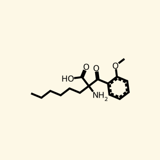 CCCCCCC(N)(C(=O)O)C(=O)c1ccccc1OC